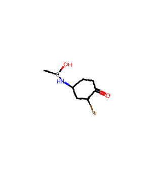 CB(O)NC1CCC(=O)C(Br)C1